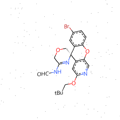 CC(C)(C)COc1cc2c(cn1)Oc1ccc(Br)cc1[C@@]21COCC(NC=O)=N1